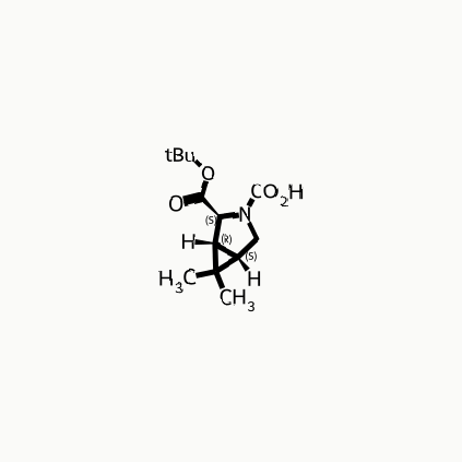 CC(C)(C)OC(=O)[C@@H]1[C@@H]2[C@H](CN1C(=O)O)C2(C)C